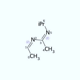 C/C=N\C(C)=N/C(C)C